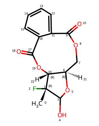 C[C@]1(F)C(O)O[C@@H]2COC(=O)c3ccccc3C(=O)O[C@H]21